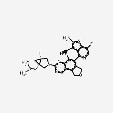 CN(C)C[C@]12C[C@H]1CN(c1ncc3c4c(c(-c5ncc(F)c6sc(N)c(C#N)c56)c(F)c3n1)COC4)C2